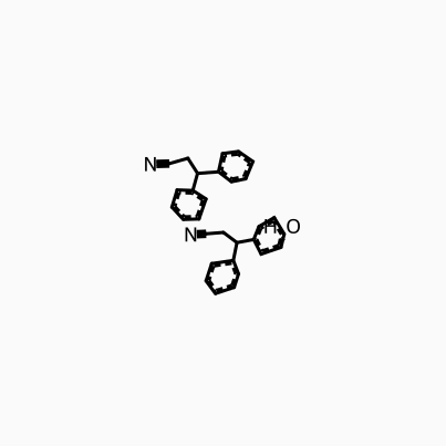 N#CCC(c1ccccc1)c1ccccc1.N#CCC(c1ccccc1)c1ccccc1.O